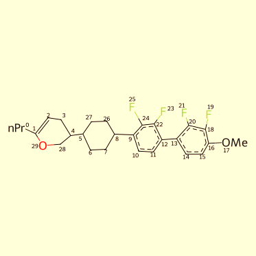 CCCC1=CCC(C2CCC(c3ccc(-c4ccc(OC)c(F)c4F)c(F)c3F)CC2)CO1